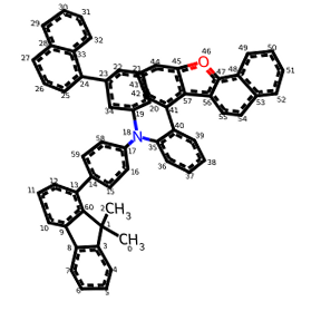 CC1(C)c2ccccc2-c2cccc(-c3ccc(N(c4cccc(-c5cccc6ccccc56)c4)c4ccccc4-c4cccc5oc6c7ccccc7ccc6c45)cc3)c21